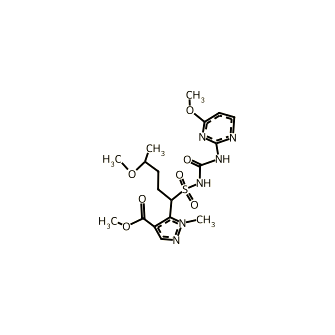 COC(=O)c1cnn(C)c1C(CCC(C)OC)S(=O)(=O)NC(=O)Nc1nccc(OC)n1